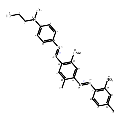 CCCN(CCO)c1ccc(/N=N/c2cc(C)c(/N=N/c3ccc(C)cc3[N+](=O)[O-])cc2OC)cc1